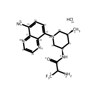 C[C@H]1C[C@@H](NC(=O)C(N)C(F)(F)F)CN(c2ccc(C#N)c3nccnc23)C1.Cl